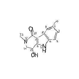 Cc1ccc2[nH]c3c(c2c1)C(=O)N(C)CC3O